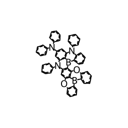 c1ccc(N(c2ccccc2)c2cc3c4c(c2)N(c2ccccc2)c2cc5c6c(c2B4c2ccccc2N3c2ccccc2)Oc2ccccc2B6c2ccccc2O5)cc1